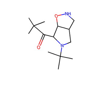 CC(C)(C)C(=O)C1C2ONCC2CN1C(C)(C)C